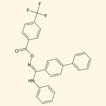 O=C(O/N=C(/Nc1ccccc1)c1ccc(-c2ccccc2)cc1)c1ccc(C(F)(F)F)cc1